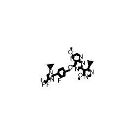 COc1cnc2nc(-c3c(OC)ncnc3C3CC3)nc(OCc3ccc(-c4nc(C(F)(F)F)cn4C4CC4)c(F)c3)c2n1